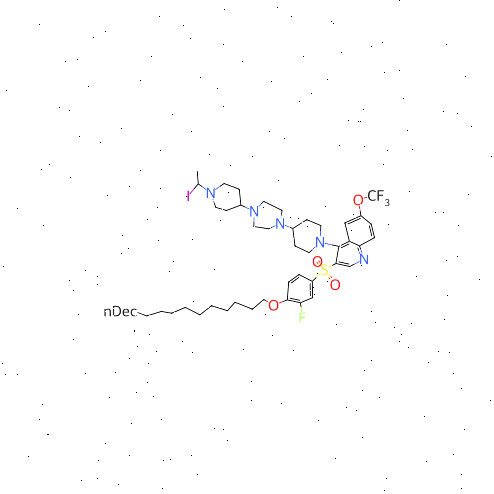 CCCCCCCCCCCCCCCCCCCCOc1ccc(S(=O)(=O)c2cnc3ccc(OC(F)(F)F)cc3c2N2CCC(N3CCN(C4CCN(C(C)I)CC4)CC3)CC2)cc1F